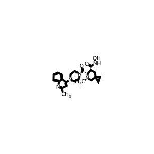 Cc1cc(N2CCN(C(=O)[C@@H]3[C@@H](C(=O)NO)CC4(CC4)CN3C)CC2)c2ccccc2n1